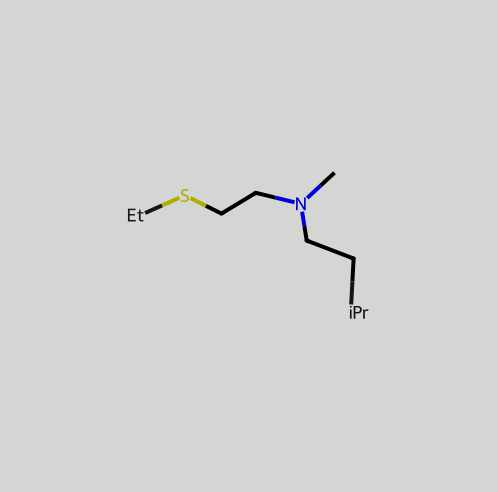 CCSCCN(C)CCC(C)C